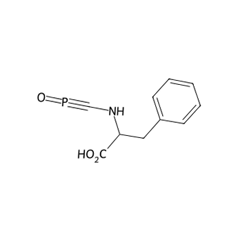 O=P#CNC(Cc1ccccc1)C(=O)O